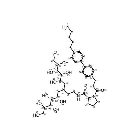 NCCCCc1ccc(-c2ccc(CCC(=O)N3CCC[C@H]3C(=O)NCCN(C[C@H](O)[C@@H](O)[C@H](O)[C@H](O)CO)C[C@H](O)[C@@H](O)[C@H](O)[C@H](O)CO)cc2)cc1